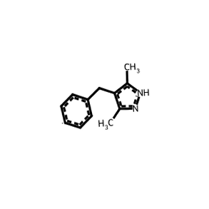 Cc1n[nH]c(C)c1Cc1cc[c]cc1